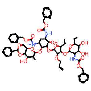 C=CCOC1C(OC2C(O)C(NC(=O)OCc3ccccc3)CC(NC(=O)OCc3ccccc3)C2OC2OC3COC(c4ccccc4)OC3C(O)C2C)OC(CC)C1OC1OC(CC)C(O)C(O)C1NC(=O)OCc1ccccc1